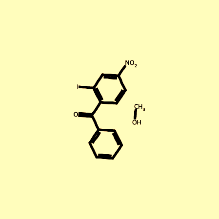 CO.O=C(c1ccccc1)c1ccc([N+](=O)[O-])cc1I